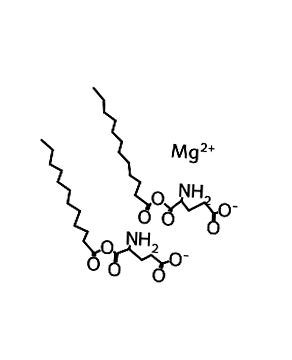 CCCCCCCCCCCC(=O)OC(=O)C(N)CCC(=O)[O-].CCCCCCCCCCCC(=O)OC(=O)C(N)CCC(=O)[O-].[Mg+2]